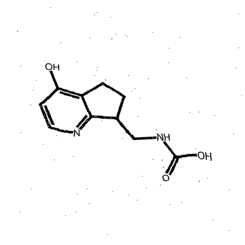 O=C(O)NCC1CCc2c(O)ccnc21